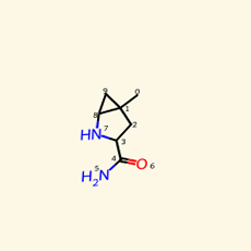 CC12CC(C(N)=O)NC1C2